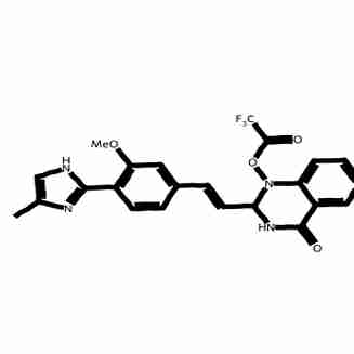 COc1cc(C=CC2NC(=O)c3ccccc3N2OC(=O)C(F)(F)F)ccc1-c1nc(C)c[nH]1